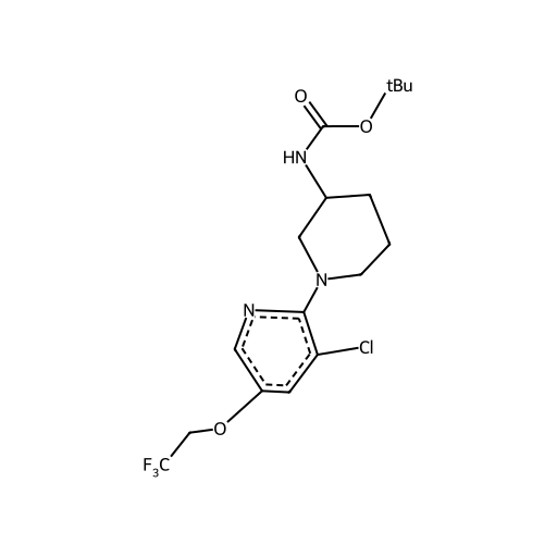 CC(C)(C)OC(=O)NC1CCCN(c2ncc(OCC(F)(F)F)cc2Cl)C1